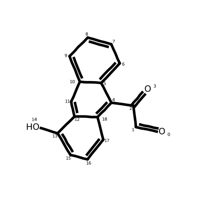 O=CC(=O)c1c2ccccc2cc2c(O)cccc12